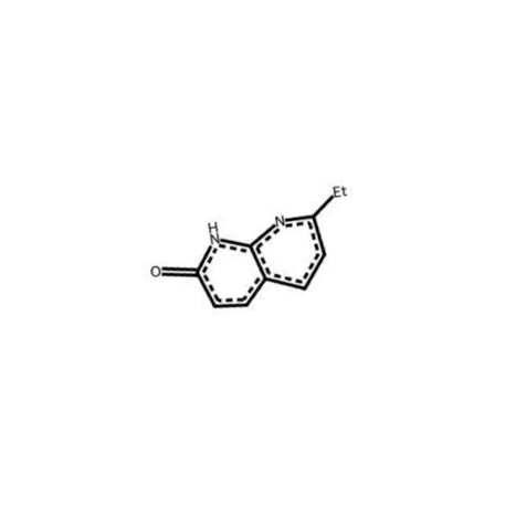 CCc1ccc2ccc(=O)[nH]c2n1